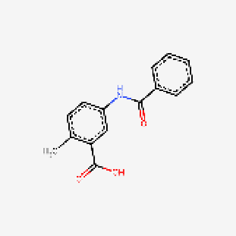 Cc1ccc(NC(=O)c2ccccc2)cc1C(=O)O